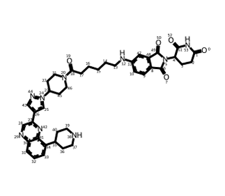 O=C1CCC(N2C(=O)c3ccc(NCCCCCC(=O)N4CCC(n5cc(-c6cnc7cccc(C8CCNCC8)c7n6)cn5)CC4)cc3C2=O)C(=O)N1